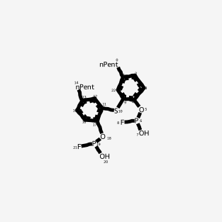 CCCCCc1ccc(OP(O)F)c(Sc2cc(CCCCC)ccc2OP(O)F)c1